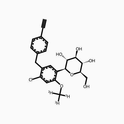 [2H]C([2H])([2H])Oc1cc(Cl)c(Cc2ccc(C#C)cc2)cc1[C@@H]1O[C@H](CO)[C@@H](O)[C@H](O)[C@H]1O